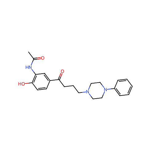 CC(=O)Nc1cc(C(=O)CCCN2CCN(c3ccccc3)CC2)ccc1O